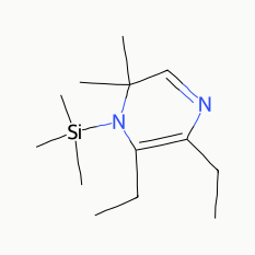 CCC1=C(CC)N([Si](C)(C)C)C(C)(C)C=N1